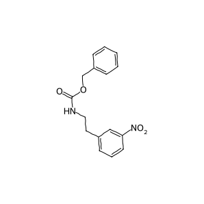 O=C(NCCc1cccc([N+](=O)[O-])c1)OCc1ccccc1